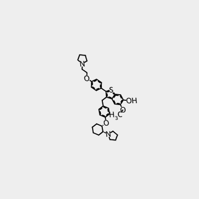 COc1cc2c(Cc3ccc(O[C@H]4CCCC[C@@H]4N4CCCC4)cc3)c(-c3ccc(OCCN4CCCC4)cc3)sc2cc1O